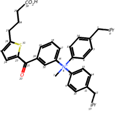 CC(C)Cc1ccc([N+](C)(c2ccc(CC(C)C)cc2)c2cccc(C(=O)c3ccc(CCCC(=O)O)s3)c2)cc1